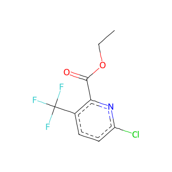 CCOC(=O)c1nc(Cl)ccc1C(F)(F)F